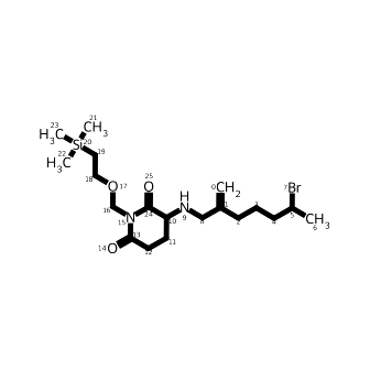 C=C(CCCC(C)Br)CNC1CCC(=O)N(COCC[Si](C)(C)C)C1=O